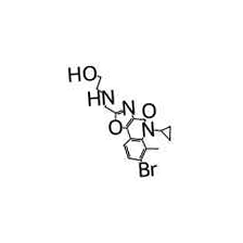 Cc1c(Br)ccc2c3oc(CNCCO)nc3c(=O)n(C3CC3)c12